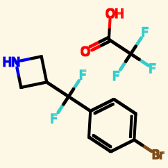 FC(F)(c1ccc(Br)cc1)C1CNC1.O=C(O)C(F)(F)F